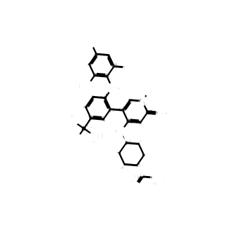 Cc1cc(F)cc(C)c1Oc1ccc(C(C)(C)O)cc1-c1cn(C)c(=O)cc1O[C@H]1CC[C@H](C(=O)O)CC1